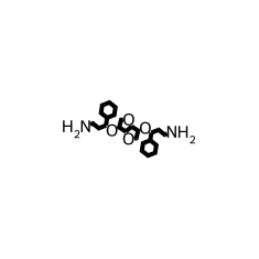 NCCC(O[C@H]1COC2C1OC[C@H]2OC(CCN)C1CCCCC1)C1CCCCC1